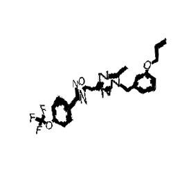 C=CCOc1cccc(Cn2nc(-c3nc(-c4ccc(OC(F)(F)F)cc4)no3)nc2C)c1